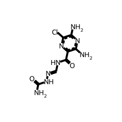 NC(=O)NN=CNC(=O)c1nc(Cl)c(N)nc1N